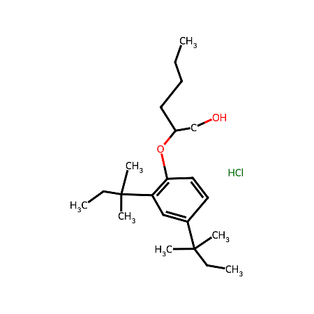 CCCCC(CO)Oc1ccc(C(C)(C)CC)cc1C(C)(C)CC.Cl